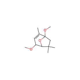 COC1C=C(C)C2(OC)CC(C)(C)C1O2